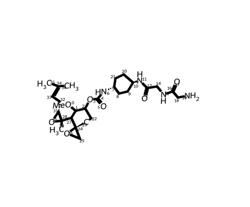 COC1C(OC(=O)N[C@H]2CC[C@H](NC(=O)CNC(=O)CN)CC2)CC[C@]2(CO2)C1C1(C)O[C@@H]1CC=C(C)C